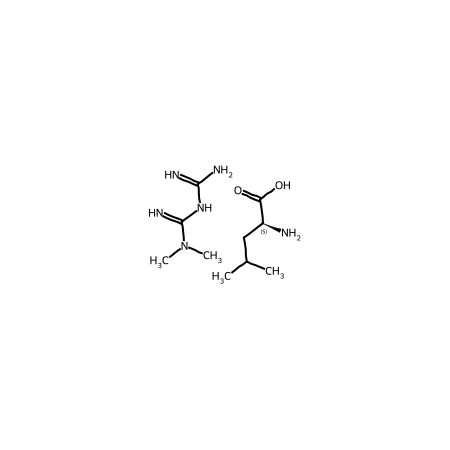 CC(C)C[C@H](N)C(=O)O.CN(C)C(=N)NC(=N)N